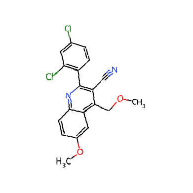 COCc1c(C#N)c(-c2ccc(Cl)cc2Cl)nc2ccc(OC)cc12